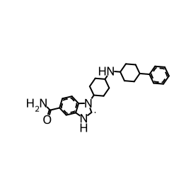 NC(=O)c1ccc2c(c1)N[CH]N2C1CCC(NC2CCC(c3ccccc3)CC2)CC1